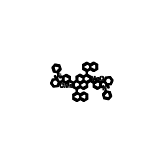 COC12CCCCC1(C)N(c1ccccc1)c1ccc(-c3cc(-c4cccc5ccccc45)c4ccc5c(-c6ccc7c(c6)C6(OC)CCCCC6(C)N7c6ccccc6)cc(-c6cccc7ccccc67)c6ccc3c4c56)cc12